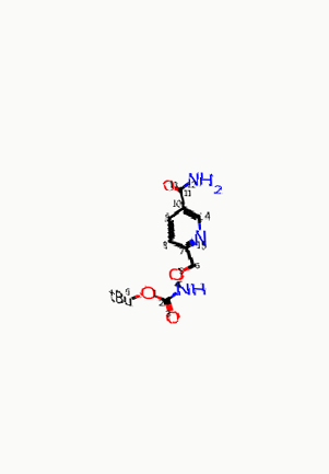 CC(C)(C)OC(=O)NOCc1ccc(C(N)=O)cn1